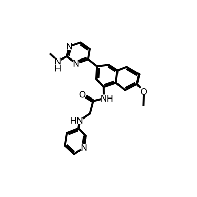 CNc1nccc(-c2cc(NC(=O)CNc3cccnc3)c3cc(OC)ccc3c2)n1